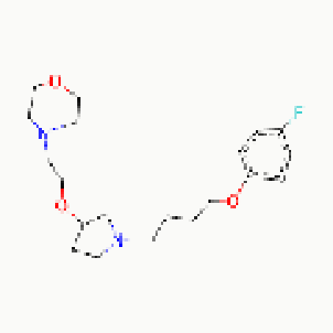 Fc1ccc(OCCCCN2CCC(OCCN3CCOCC3)C2)cc1